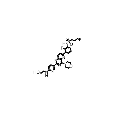 O=S(=O)(CCCF)Nc1cccc(-c2ccc3nc(-c4ccc(NCCO)nc4)nc(N4CCOCC4)c3n2)c1F